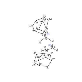 C/C(=C/C(C)=N/C1C2CC3CC(C2)C1C3)NC1C2CC3CC(C2)C1C3